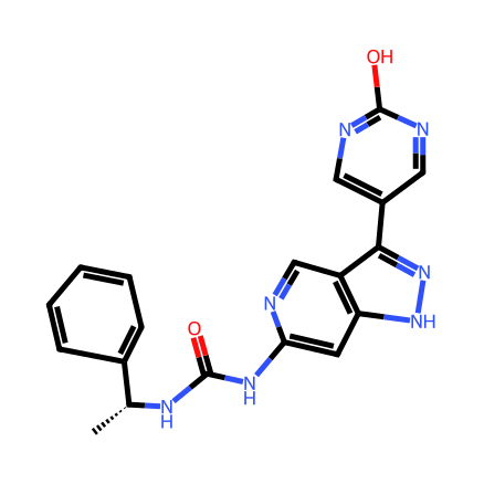 C[C@@H](NC(=O)Nc1cc2[nH]nc(-c3cnc(O)nc3)c2cn1)c1ccccc1